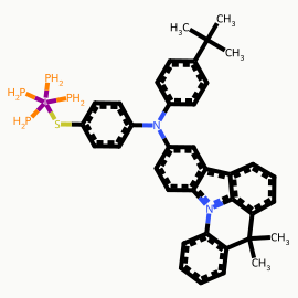 CC(C)(C)c1ccc(N(c2ccc(SI(P)(P)(P)P)cc2)c2ccc3c(c2)c2cccc4c2n3-c2ccccc2C4(C)C)cc1